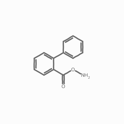 NOC(=O)c1ccccc1-c1ccccc1